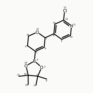 CC1(C)OB(C2=CC(c3ccnc(Cl)c3)OCC2)OC1(C)C